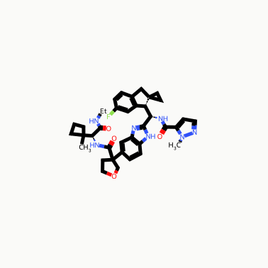 CCNC(=O)[C@H](NC(=O)C1(c2ccc3[nH]c([C@@H](NC(=O)c4ccnn4C)[C@@H]4c5cc(F)ccc5CC45CC5)nc3c2)CCOC1)C1(C)CCC1